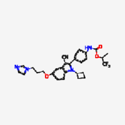 CC(OC(=O)Nc1ccc(-c2c(C#N)c3cc(OCCCn4ccnc4)ccc3n2C2CCC2)cc1)C(F)(F)F